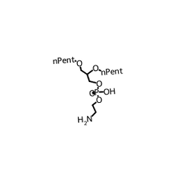 CCCCCOCC(COP(=O)(O)OCCN)OCCCCC